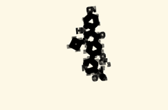 N#Cc1ccc2c(c1)[nH]c1c2c(=O)c2cc(OC(F)(F)F)c(-c3cncc(S(=O)(=O)F)c3)cc2n1C1CCC1